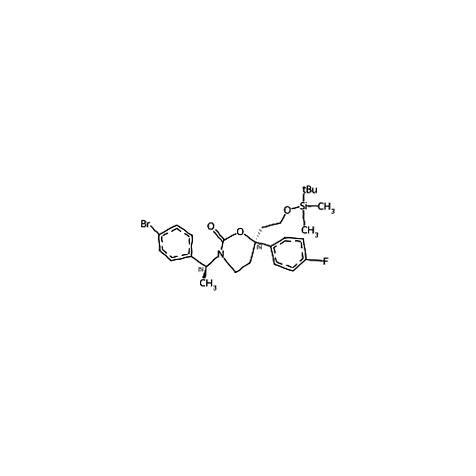 C[C@@H](c1ccc(Br)cc1)N1CC[C@](CCO[Si](C)(C)C(C)(C)C)(c2ccc(F)cc2)OC1=O